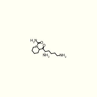 NCCCC[C@H](N)C(=O)C1CCCCN1C(N)=O